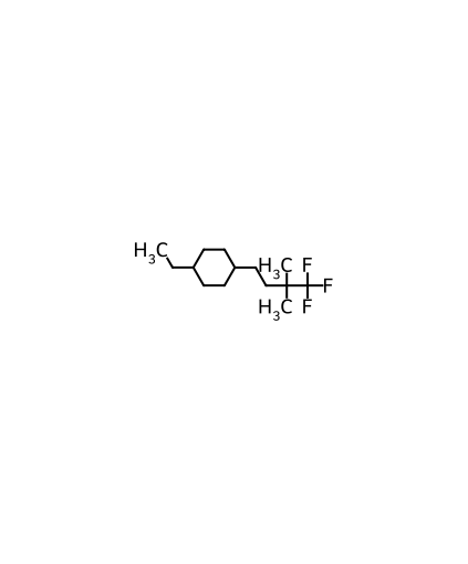 CCC1CCC(CCC(C)(C)C(F)(F)F)CC1